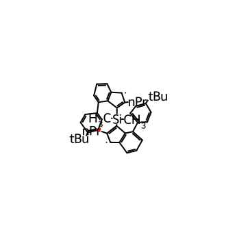 CCCC1=C([Si](C)(C)C2=C(CCC)[CH]c3cccc(-c4ccc(C(C)(C)C)cc4)c32)c2c(cccc2-c2ccc(C(C)(C)C)cc2)[CH]1